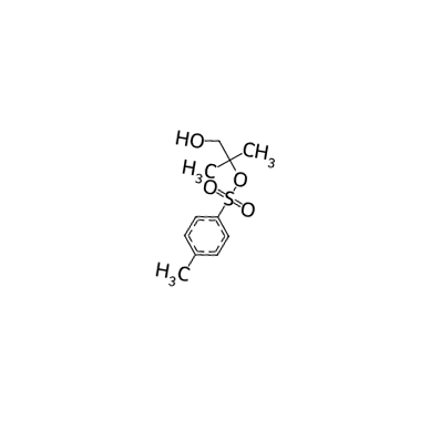 Cc1ccc(S(=O)(=O)OC(C)(C)CO)cc1